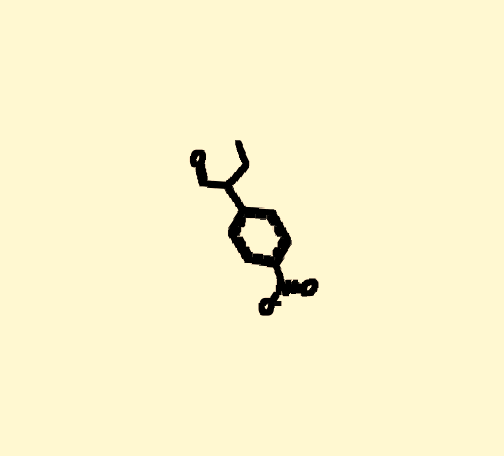 CCC(C=O)c1ccc([N+](=O)[O-])cc1